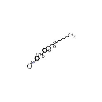 CCCCCCCCOC(=O)CC1COc2cc(C(=O)Nc3ccc(/C=N/N4CCCCC4)cc3)ccc2C1